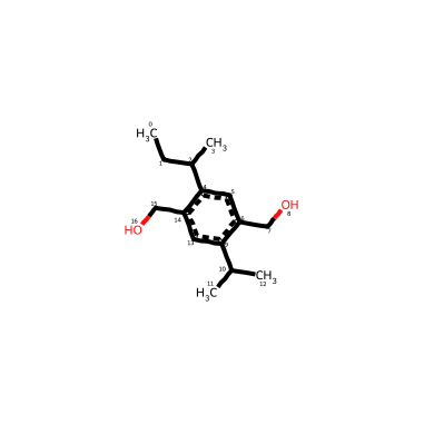 CCC(C)c1cc(CO)c(C(C)C)cc1CO